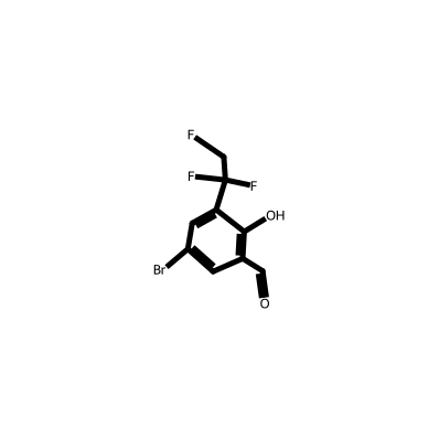 O=Cc1cc(Br)cc(C(F)(F)CF)c1O